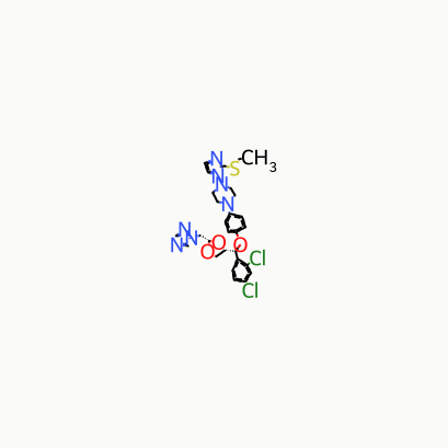 CCSc1nccn1N1CCN(c2ccc(OC(c3ccc(Cl)cc3Cl)[C@@H]3CO[C@H](Cn4cncn4)O3)cc2)CC1